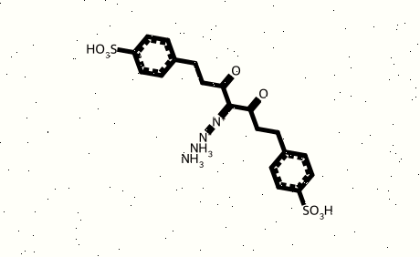 N.N.[N-]=[N+]=C(C(=O)CCc1ccc(S(=O)(=O)O)cc1)C(=O)CCc1ccc(S(=O)(=O)O)cc1